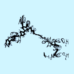 Cc1nnc(-c2cc(-c3ccc(NC(=O)N4Cc5ccncc5C4)cc3)nn(CCCCCCNC(=O)CNC(=O)CC(C)(CC(=O)O)SCC(N)C(=O)O)c2=O)o1